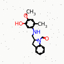 COc1cc(C)c(NCC2Cc3ccccc3N2C=O)cc1O